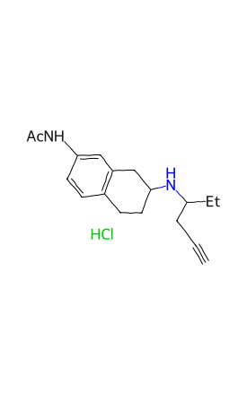 C#CCC(CC)NC1CCc2ccc(NC(C)=O)cc2C1.Cl